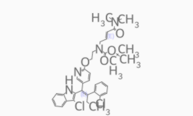 CC/C(=C(/c1ccc(OCCN(C/C=C/C(=O)N(C)C)C(=O)OC(C)(C)C)nc1)c1[nH]c2ccccc2c1Cl)c1ccccc1Cl